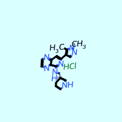 Cc1c(-c2cc3nccnc3c(NC[C@H]3CCCNC3)n2)cnn1C.Cl